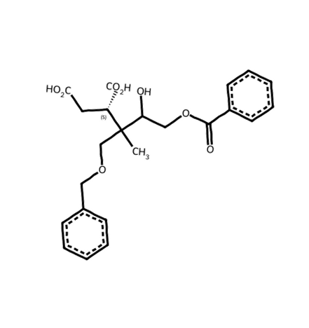 CC(COCc1ccccc1)(C(O)COC(=O)c1ccccc1)[C@H](CC(=O)O)C(=O)O